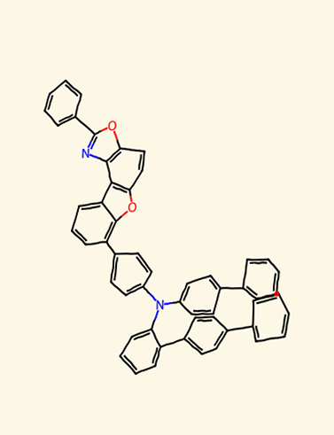 c1ccc(-c2ccc(-c3ccccc3N(c3ccc(-c4ccccc4)cc3)c3ccc(-c4cccc5c4oc4ccc6oc(-c7ccccc7)nc6c45)cc3)cc2)cc1